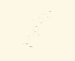 C=CC(=O)Oc1ccc(-c2ccc(O/C=C\OC(=O)C(=C)C)c(F)c2)c(F)c1